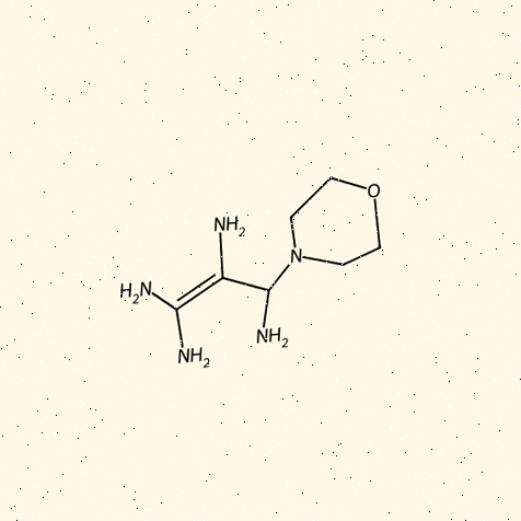 NC(N)=C(N)C(N)N1CCOCC1